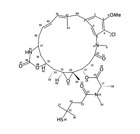 COc1cc2cc(c1Cl)N(C)C(=O)C[C@H](OC(=O)[C@H](C)N(C)C(=O)CCC(C)(C)S)[C@]1(C)O[C@H]1[C@H](C)[C@@H]1CC(C/C=C/C=C(\C)C2)NC(=O)O1